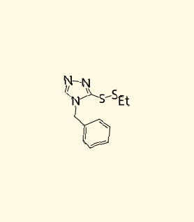 CCSSc1nncn1Cc1ccccc1